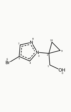 OCC1(n2cc(Br)cn2)CC1